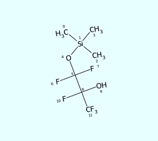 C[Si](C)(C)OC(F)(F)C(O)(F)C(F)(F)F